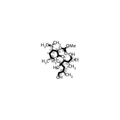 CC[C@@H](O)[C@H](C)[C@@H](OC1O[C@H](C)C[C@H](N(C)C)[C@H]1OC(=O)OC)[C@](C)(O)C[C@@H](C)CO